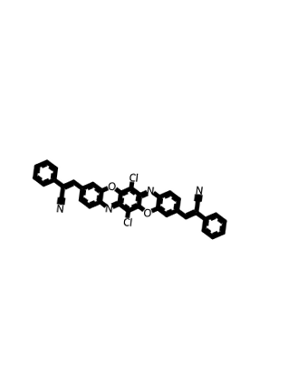 N#C/C(=C\c1ccc2c(c1)Oc1c(Cl)c3c(c(Cl)c1=N2)Oc1cc(/C=C(\C#N)c2ccccc2)ccc1N=3)c1ccccc1